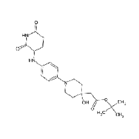 CC(C)(C)OC(=O)CC1(O)CCN(c2ccc(NC3CCC(=O)NC3=O)cc2)CC1